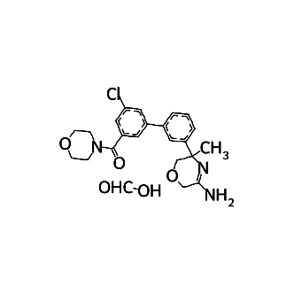 CC1(c2cccc(-c3cc(Cl)cc(C(=O)N4CCOCC4)c3)c2)COCC(N)=N1.O=CO